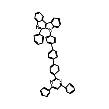 c1ccc(-c2cc(-c3ccccc3)nc(-c3ccc(-c4ccc(-c5ccc(-n6c7ccccc7c7c8ccccc8nc(-c8ccccc8)c76)cc5)cc4)cc3)n2)cc1